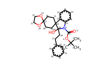 CC(C)(C)OC(=O)N1c2ccccc2C2(CCC3(CC2)OCCO3)C1(O)CCc1ccccc1